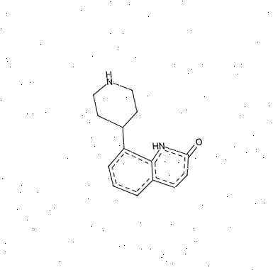 O=c1ccc2cccc(C3CCNCC3)c2[nH]1